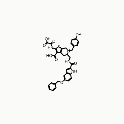 COc1ccc(CN2Cc3sc(NC(=O)C(=O)O)c(C(=O)O)c3CC2CNC(=O)c2cc3cc(OCc4ccccc4)ccc3[nH]2)cc1